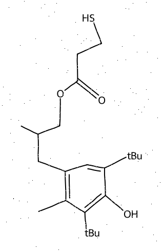 Cc1c(CC(C)COC(=O)CCS)cc(C(C)(C)C)c(O)c1C(C)(C)C